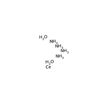 N.N.N.N.O.O.[Ce]